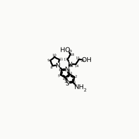 Nc1cc2c(cc(N3CCCC3)n2N(CCO)CCO)s1